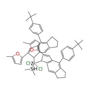 Cc1ccc(C2=Cc3c(cc4c(c3-c3ccc(C(C)(C)C)cc3)CCC4)[CH]2[Zr]([Cl])([Cl])([CH]2C(c3ccc(C)o3)=Cc3c2cc2c(c3-c3ccc(C(C)(C)C)cc3)CCC2)[SiH](C)C)o1